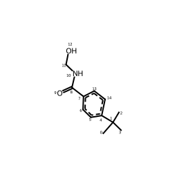 CC(C)(C)c1ccc(C(=O)NCO)cc1